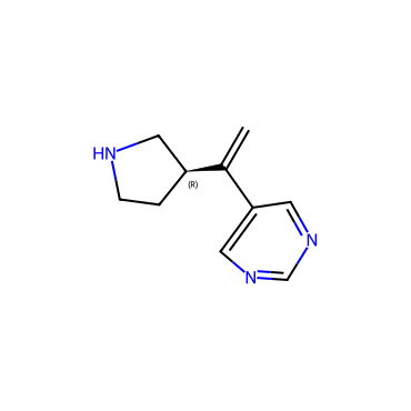 C=C(c1cncnc1)[C@H]1CCNC1